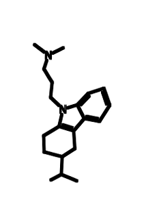 CC(C)C1CCc2c(c3ccccc3n2CCCN(C)C)C1